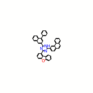 c1ccc(-c2cc(C3=NC(c4cccc5oc6ccccc6c45)=NC(c4ccc5ccc6ccccc6c5c4)N3)cc3ccccc23)cc1